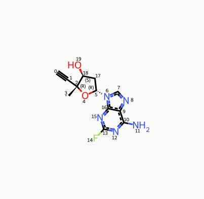 C#C[C@@]1([CH2])O[C@@H](n2cnc3c(N)nc(F)nc32)C[C@@H]1O